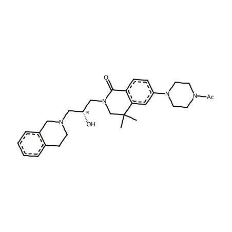 CC(=O)N1CCN(c2ccc3c(c2)C(C)(C)CN(C[C@H](O)CN2CCc4ccccc4C2)C3=O)CC1